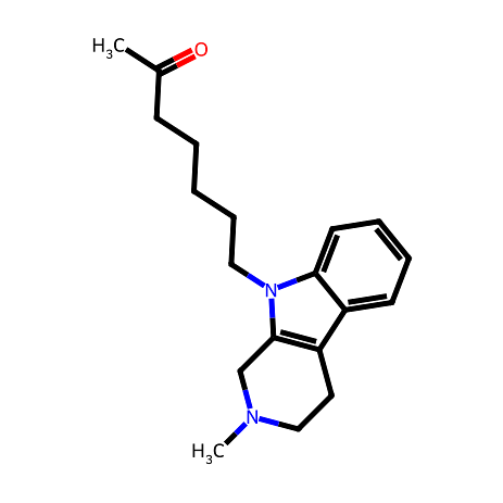 CC(=O)CCCCCn1c2c(c3ccccc31)CCN(C)C2